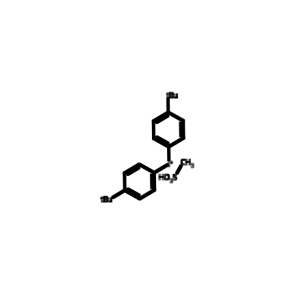 CC(C)(C)c1ccc([I+]c2ccc(C(C)(C)C)cc2)cc1.CS(=O)(=O)O